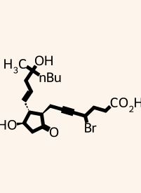 CCCCC(C)(O)C/C=C/[C@H]1[C@H](O)CC(=O)[C@@H]1CC#CC(Br)CCC(=O)O